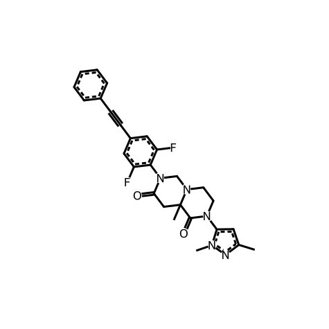 Cc1cc(N2CCN3CN(c4c(F)cc(C#Cc5ccccc5)cc4F)C(=O)CC3(C)C2=O)n(C)n1